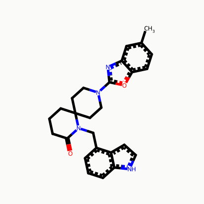 Cc1ccc2oc(N3CCC4(CCCC(=O)N4Cc4cccc5[nH]ccc45)CC3)nc2c1